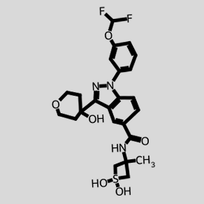 CC1(NC(=O)c2ccc3c(c2)c(C2(O)CCOCC2)nn3-c2cccc(OC(F)F)c2)CS(O)(O)C1